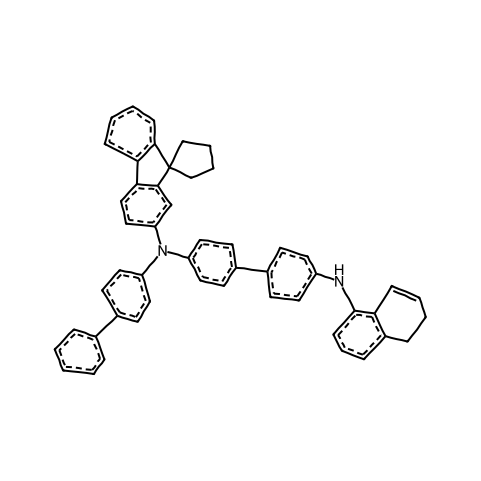 C1=Cc2c(cccc2Nc2ccc(-c3ccc(N(c4ccc(-c5ccccc5)cc4)c4ccc5c(c4)C4(CCCC4)c4ccccc4-5)cc3)cc2)CC1